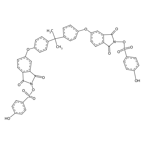 CC(C)(c1ccc(Oc2ccc3c(c2)C(=O)N(OS(=O)(=O)c2ccc(O)cc2)C3=O)cc1)c1ccc(Oc2ccc3c(c2)C(=O)N(OS(=O)(=O)c2ccc(O)cc2)C3=O)cc1